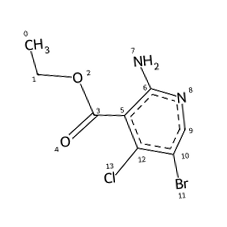 CCOC(=O)c1c(N)ncc(Br)c1Cl